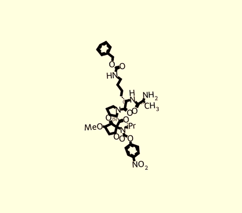 COC1CC(=O)C(C(=O)[C@@H]2CCCN2C(=O)[C@H](CCCCNC(=O)OCc2ccccc2)NC(=O)[C@H](C)N)(N(C(=O)Oc2ccc([N+](=O)[O-])cc2)C(C)C)C1=O